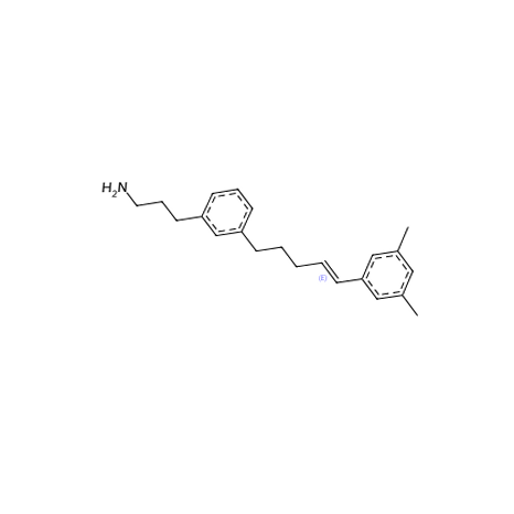 Cc1cc(C)cc(/C=C/CCCc2cccc(CCCN)c2)c1